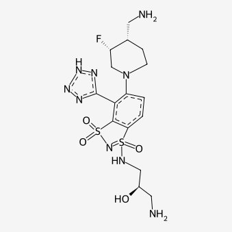 NC[C@@H](O)CNS1(=O)=NS(=O)(=O)c2c1ccc(N1CC[C@@H](CN)[C@@H](F)C1)c2-c1nn[nH]n1